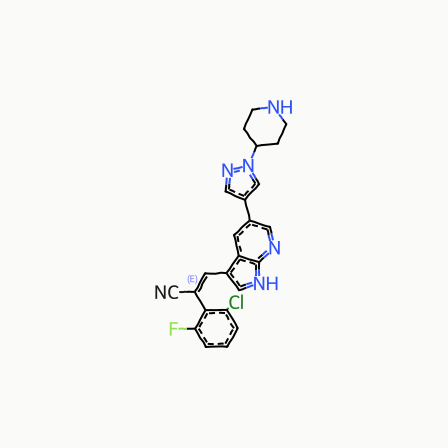 N#C/C(=C/c1c[nH]c2ncc(-c3cnn(C4CCNCC4)c3)cc12)c1c(F)cccc1Cl